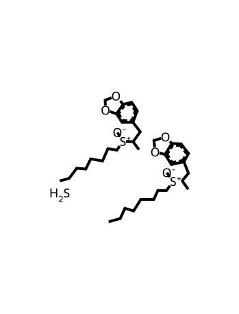 CCCCCCCC[S+]([O-])C(C)Cc1ccc2c(c1)OCO2.CCCCCCCC[S+]([O-])C(C)Cc1ccc2c(c1)OCO2.S